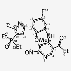 CCC(=O)c1cnc(N=O)cc1Nc1cc(F)cc(-c2cc(P(=O)(CC)CC)n(C)n2)c1OC